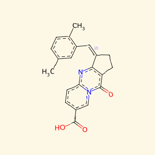 Cc1ccc(C)c(/C=C2/CCc3c2nc2ccc(C(=O)O)cn2c3=O)c1